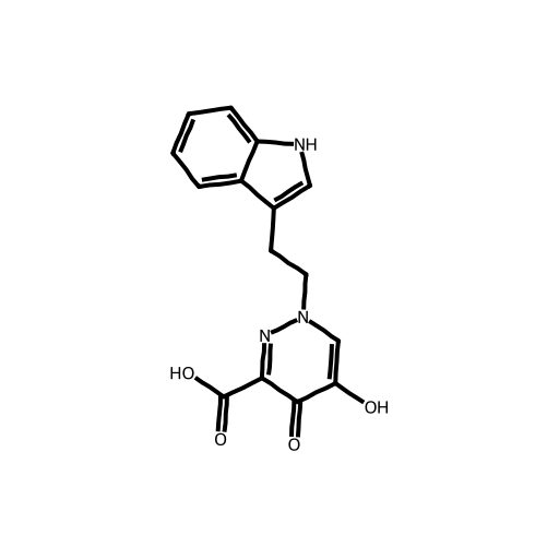 O=C(O)c1nn(CCc2c[nH]c3ccccc23)cc(O)c1=O